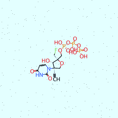 C#C[C@@]1(n2ccc(=O)[nH]c2=O)CO[C@](CF)(COP(=O)(O)OP(=O)(O)OP(=O)(O)O)[C@H]1O